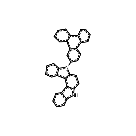 c1ccc2c(c1)[nH]c1ccc3c(c4ccccc4n3-c3ccc4c5ccccc5c5ccccc5c4c3)c12